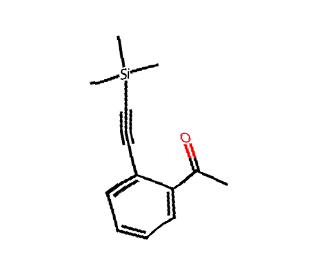 CC(=O)c1ccccc1C#C[Si](C)(C)C